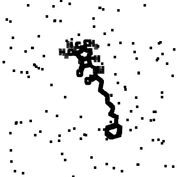 C=C1N2C(=O)[C@@H](NC(=O)CCCCCCCc3ccccc3)[C@H]2SC1(C)C